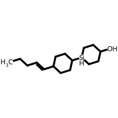 CCCC=CC1CCC([SiH]2CCC(O)CC2)CC1